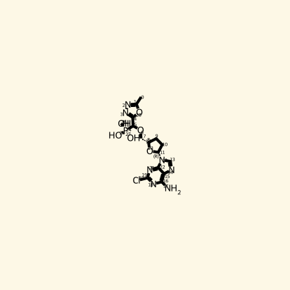 Cc1nnc(C(OC[C@@H]2CC[C@H](n3cnc4c(N)nc(Cl)nc43)O2)[PH](O)(O)O)o1